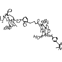 Cc1ncsc1-c1ccc([C@H](C)NC(=O)[C@@H]2C[C@@H](O)CN2C(=O)[C@@H](NC(=O)CCCc2cccc(OC[C@H](CCC(N)=O)NC(=O)OC(C)(C)C)c2Cl)C(C)(C)C)cc1